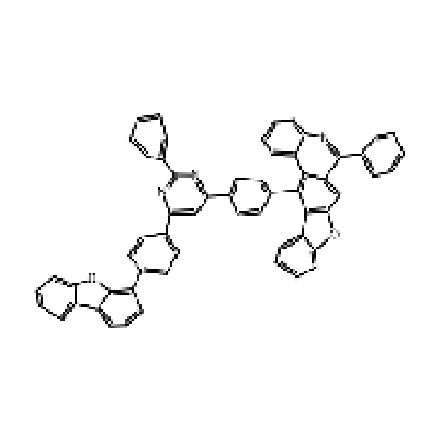 c1ccc(-c2nc(-c3ccc(-c4cccc5c4oc4ccccc45)cc3)cc(-c3ccc(-c4c5c(cc6c(-c7ccccc7)nc7ccccc7c46)oc4ccccc45)cc3)n2)cc1